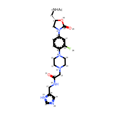 CC(=O)NC[C@H]1CN(c2ccc(N3CCN(CC(=O)NCc4cnc[nH]4)CC3)c(F)c2)C(=O)O1